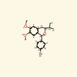 COc1cc2c(cc1OC)C(c1ccc(Br)cc1)OC(C(C)C)C2